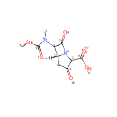 COC(=O)N(C)C1C(=O)N2C(C(=O)O)C(=O)C[C@H]12